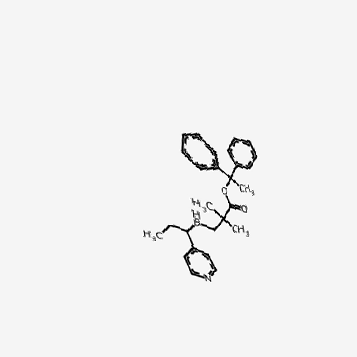 CCC(BCC(C)(C)C(=O)OC(C)(c1ccccc1)c1ccccc1)c1ccncc1